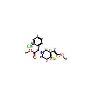 COC(=O)[C@H](c1ccccc1Cl)N1CCc2sc(OC)cc2C1